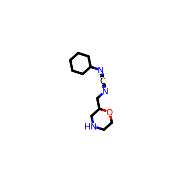 C(=NCC1CNCCO1)=NC1CCCCC1